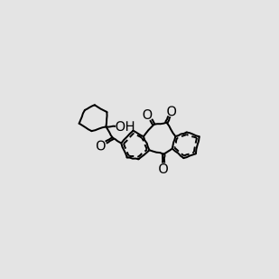 O=C1C(=O)c2cc(C(=O)C3(O)CCCCC3)ccc2C(=O)c2ccccc21